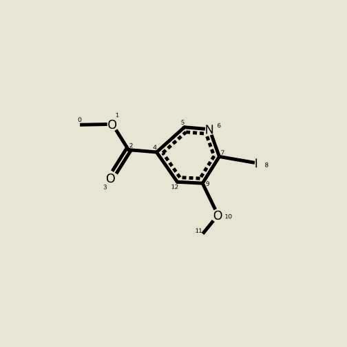 COC(=O)c1cnc(I)c(OC)c1